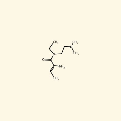 CC=C(N)C(=O)N(CC)CCN(C)C